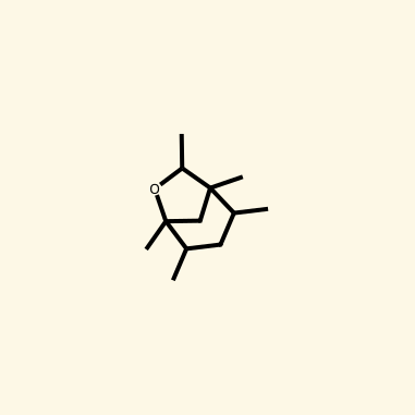 CC1CC(C)C2(C)CC1(C)OC2C